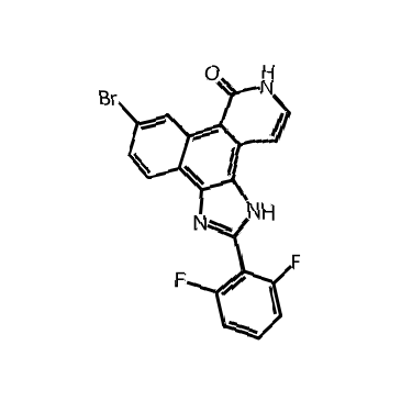 O=c1[nH]ccc2c3[nH]c(-c4c(F)cccc4F)nc3c3ccc(Br)cc3c12